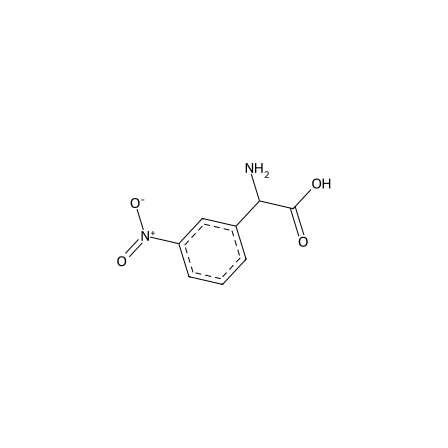 NC(C(=O)O)c1cccc([N+](=O)[O-])c1